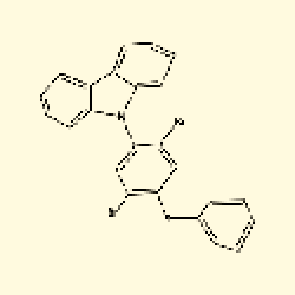 Brc1cc(-n2c3ccccc3c3ccccc32)c(Br)cc1Sc1ccccc1